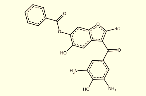 CCc1oc2cc(OC(=O)c3ccccc3)c(O)cc2c1C(=O)c1cc(N)c(O)c(N)c1